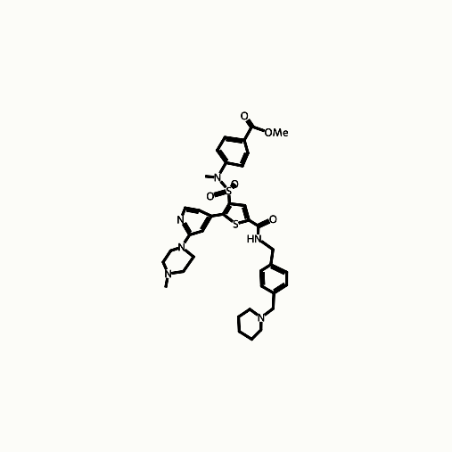 COC(=O)c1ccc(N(C)S(=O)(=O)c2cc(C(=O)NCc3ccc(CN4CCCCC4)cc3)sc2-c2ccnc(N3CCN(C)CC3)c2)cc1